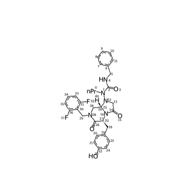 CCCN(C(=O)NCc1ccccc1)N1CC(=O)N2[C@@H](Cc3ccc(O)cc3)C(=O)N(Cc3c(F)cccc3F)C[C@@H]21